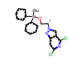 C[C@@H](CO[Si](c1ccccc1)(c1ccccc1)C(C)(C)C)n1cc2c(Cl)nc(Cl)cc2n1